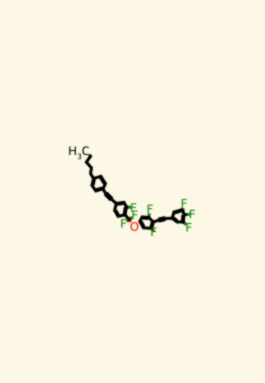 CCCCCc1ccc(C#Cc2ccc(C(F)(F)Oc3cc(F)c(C#Cc4cc(F)c(F)c(F)c4)c(F)c3)c(F)c2)cc1